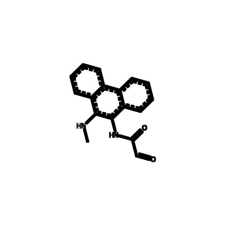 CNc1c(NC(=O)C=O)c2ccccc2c2ccccc12